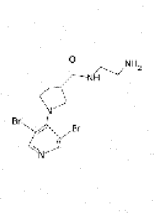 NCCNC(=O)C1CCN(c2c(Br)cncc2Br)C1